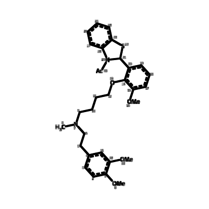 COc1ccc(CCN(C)CCCCOc2c(OC)cccc2C2Sc3ccccc3N2C(C)=O)cc1OC